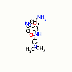 CN(C)c1ccc(C(=O)Nc2ccc(OCCN)c(-c3c(Cl)cnn3C)c2)cc1